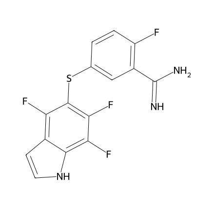 N=C(N)c1cc(Sc2c(F)c(F)c3[nH]ccc3c2F)ccc1F